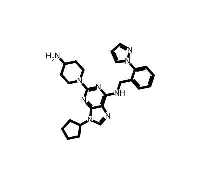 NC1CCN(c2nc(NCc3ccccc3-n3cccn3)c3ncn(C4CCCC4)c3n2)CC1